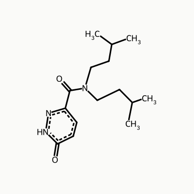 CC(C)CCN(CCC(C)C)C(=O)c1ccc(=O)[nH]n1